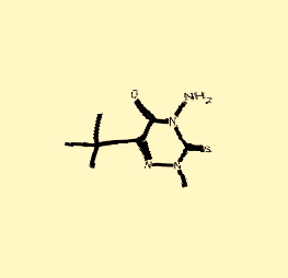 Cn1nc(C(C)(C)C)c(=O)n(N)c1=S